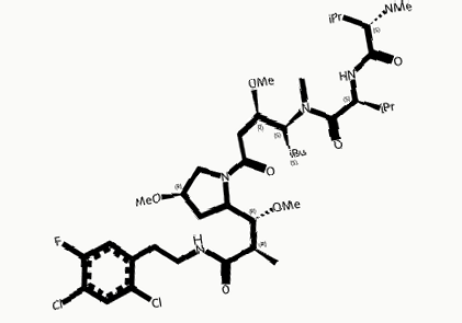 CC[C@H](C)[C@@H]([C@@H](CC(=O)N1C[C@H](OC)CC1[C@H](OC)[C@@H](C)C(=O)NCCc1cc(F)c(Cl)cc1Cl)OC)N(C)C(=O)[C@@H](NC(=O)[C@@H](NC)C(C)C)C(C)C